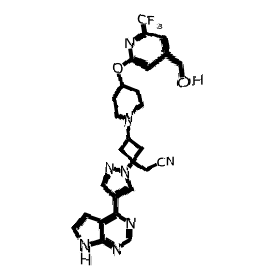 N#CCC1(n2cc(-c3ncnc4[nH]ccc34)cn2)CC(N2CCC(Oc3cc(CO)cc(C(F)(F)F)n3)CC2)C1